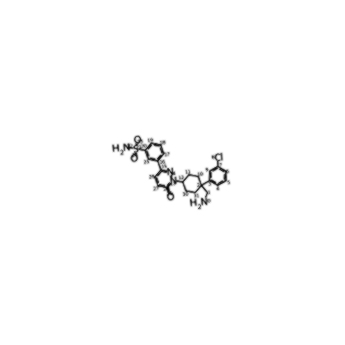 NCC1(c2cccc(Cl)c2)CCC(n2nc(-c3cccc(S(N)(=O)=O)c3)ccc2=O)CC1